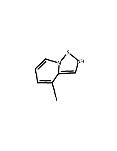 IC1=CC=CN2SNC=C12